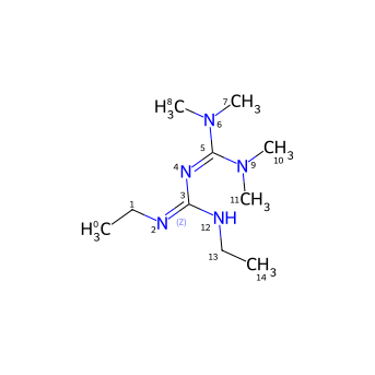 CC/N=C(\N=C(N(C)C)N(C)C)NCC